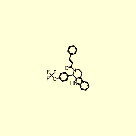 O=C(/C=C/c1ccccc1)N1CCc2c([nH]c3ccccc23)C1c1ccc(OC(F)(F)F)cc1